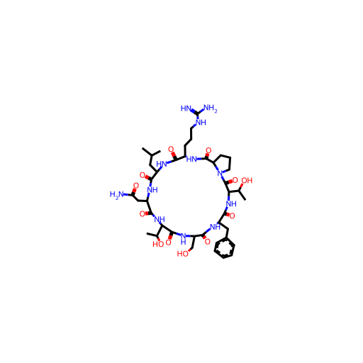 CC(C)CC1NC(=O)C(CCCNC(=N)N)NC(=O)C2CCCN2C(=O)C(C(C)O)NC(=O)C(Cc2ccccc2)NC(=O)C(CO)NC(=O)C(C(C)O)NC(=O)C(CC(N)=O)NC1=O